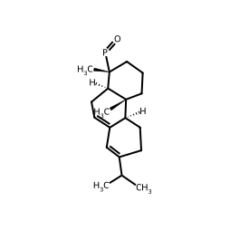 CC(C)C1=CC2=CC[C@@H]3[C@](C)(CCC[C@@]3(C)P=O)[C@H]2CC1